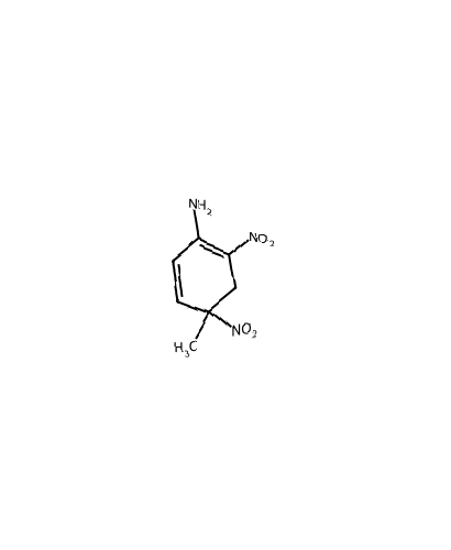 CC1([N+](=O)[O-])C=CC(N)=C([N+](=O)[O-])C1